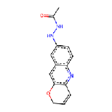 CC(=O)NNc1ccc2nc3c(cc2c1)OCC=C3